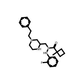 CC1(C(=O)N(CC2CN(CCc3ccccc3)CCN2)Nc2ccccc2F)CCC1